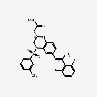 COC(=O)C[C@H]1CN(S(=O)(=O)c2cccc(C(F)(F)F)c2)c2cc(/C=C(\C)c3c(F)cccc3Cl)ccc2O1